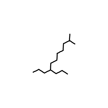 CCCC(CCC)CCCCC[C](C)C